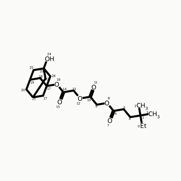 CCC(C)(C)CCC(=O)OCC(=O)OCC(=O)OC12CC3CC(CC(O)(C3)C1)C2